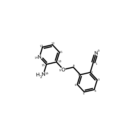 N#Cc1ccccc1COc1cccnc1N